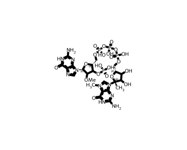 COC1C(OP(=O)(O)O)[C@@H](COP(=O)(O)OP(=O)(O)OP(=O)(O)OC[C@H]2O[C@@](C)(n3c[n+](C)c4c(=O)[nH]c(N)nc43)C(O)C2O)O[C@H]1n1cnc2c(=O)[nH]c(N)nc21